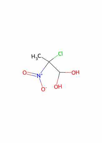 CC(Cl)(C(O)O)[N+](=O)[O-]